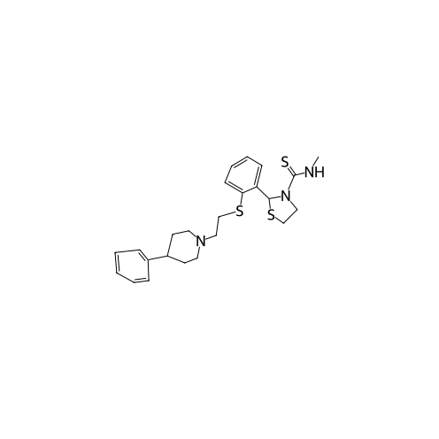 CNC(=S)N1CCSC1c1ccccc1SCCN1CCC(c2ccccc2)CC1